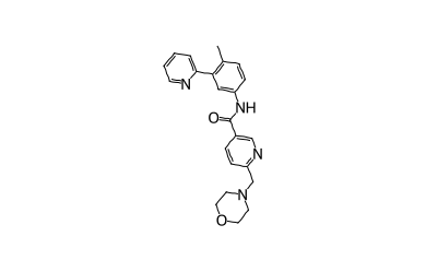 Cc1ccc(NC(=O)c2ccc(CN3CCOCC3)nc2)cc1-c1ccccn1